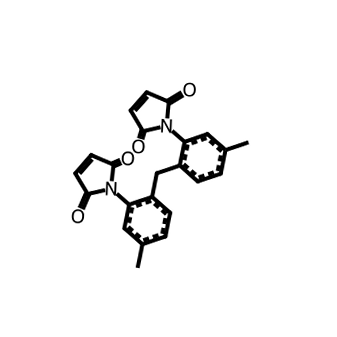 Cc1ccc(Cc2ccc(C)cc2N2C(=O)C=CC2=O)c(N2C(=O)C=CC2=O)c1